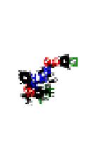 CC[C@H]1CN(C(=O)COc2ccc(Cl)cc2)CCN1Cc1nc2ccccc2c(=O)n1-c1cc(C(F)(F)F)c(F)cc1OC(C)C